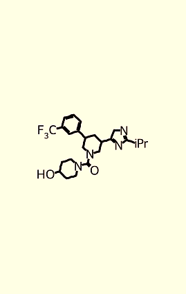 CC(C)C1=NCC(C2CC(c3cccc(C(F)(F)F)c3)CN(C(=O)N3CCC(O)CC3)C2)=N1